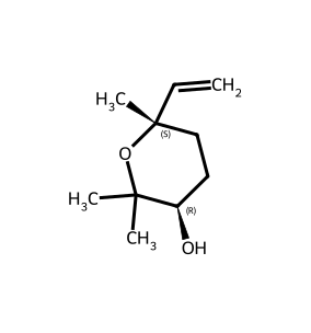 C=C[C@]1(C)CC[C@@H](O)C(C)(C)O1